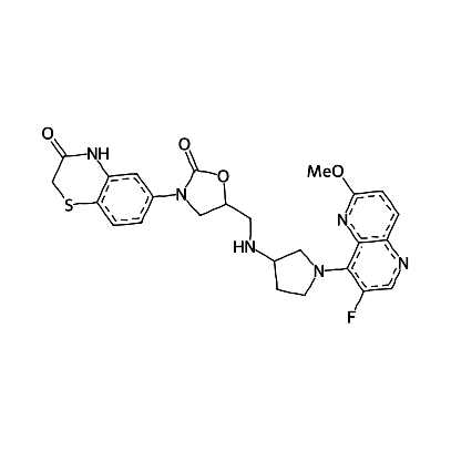 COc1ccc2ncc(F)c(N3CCC(NCC4CN(c5ccc6c(c5)NC(=O)CS6)C(=O)O4)C3)c2n1